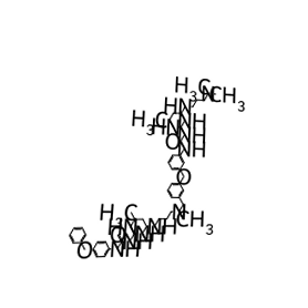 CC1CC(NCCCN(C)C)NC(NC(=O)Nc2cccc(Oc3cccc(CN(C)CCCNC4CC(C)NC(NC(=O)Nc5ccc(Oc6ccccc6)cc5)N4)c3)c2)N1